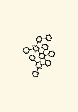 c1ccc(-c2cccc(-c3nc(-c4ccccc4)nc(-c4ccc(-c5ccccc5-c5nc(-c6ccccc6)nc(-c6ccccc6)n5)c(-c5ccccc5)c4-c4ccccc4)n3)c2)cc1